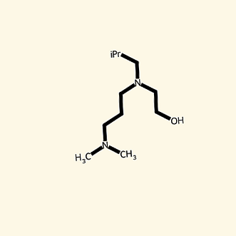 CC(C)CN(CCO)CCCN(C)C